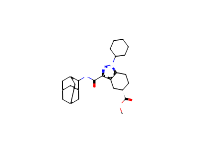 COC(=O)[C@@H]1CCc2c(c(C(=O)NC3C4CC5CC(C4)CC3C5)nn2C2CCCCC2)C1